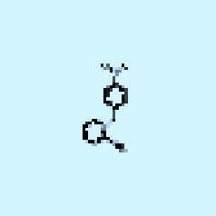 N#Cc1cccc[n+]1Cc1ccc([N+](=O)[O-])cc1